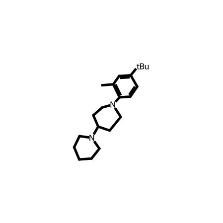 Cc1cc(C(C)(C)C)ccc1N1CCC(N2CCCCC2)CC1